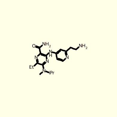 CCc1nc(C(N)=O)c(Nc2ccnc(CCN)c2)nc1N(C)C(C)C